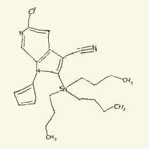 CCC[CH2][Sn]([CH2]CCC)([CH2]CCC)[c]1c(C#N)c2cc(Cl)ncc2n1C1=CC=C1